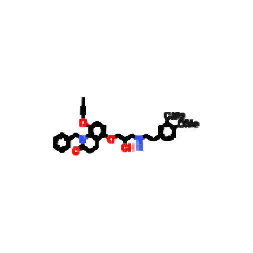 CC#COc1ccc(OCC(O)CNCCc2ccc(OC)c(OC)c2)c2c1N(Cc1ccccc1)C(=O)CC2